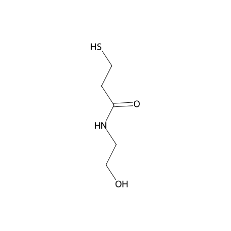 O=C(CCS)NCCO